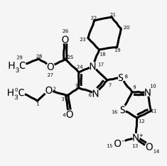 CCOC(=O)c1nc(Sc2ncc([N+](=O)[O-])s2)n(C2CCCCC2)c1C(=O)OCC